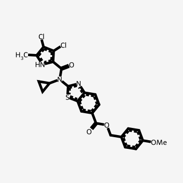 COc1ccc(COC(=O)c2ccc3nc(N(C(=O)c4[nH]c(C)c(Cl)c4Cl)C4CC4)sc3c2)cc1